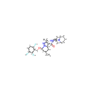 Cc1cc(OCc2c(F)ccc(F)c2F)n2nc(C)c(C(=O)NC3CC4CCCC(C3)N4C)c2c1